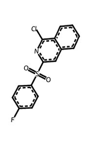 O=S(=O)(c1ccc(F)cc1)c1cc2ccccc2c(Cl)n1